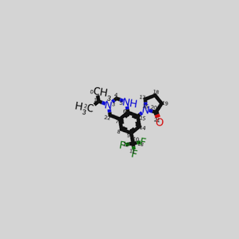 CC(C)N1CNc2c(cc(C(F)(F)F)cc2N2CCCC2=O)C1